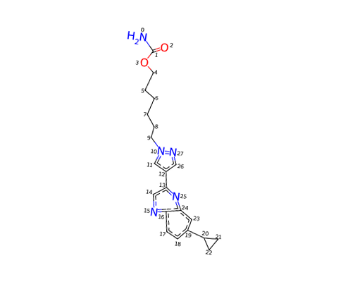 NC(=O)OCCCCCCn1cc(-c2cnc3ccc(C4CC4)cc3n2)cn1